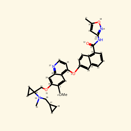 COc1cc2c(Oc3ccc4c(C(=O)Nc5cc(C)on5)cccc4c3)ccnc2cc1OCC1(N(C)CC2CC2)CC1